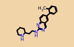 Cc1ccccc1-c1ccc2nc(NCCC3CCCCN3)ncc2c1